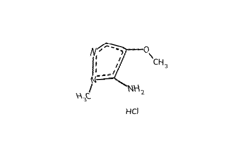 COc1cnn(C)c1N.Cl